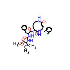 COC(=O)C(NC(=O)NC(Cc1ccccc1)C(=O)NC1CCCCNC(=O)/C=C/[C@H](Cc2ccccc2F)NC1=O)C(C)C